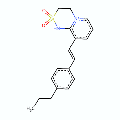 CCCc1ccc(/C=C/c2ccc[n+]3c2NS(=O)(=O)CC3)cc1